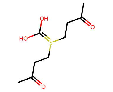 CC(=O)CCS(CCC(C)=O)=C(O)O